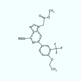 CCOc1ccc(-c2cc3c(ncn3CC(=O)OC)c(C#N)n2)cc1C(F)(F)F